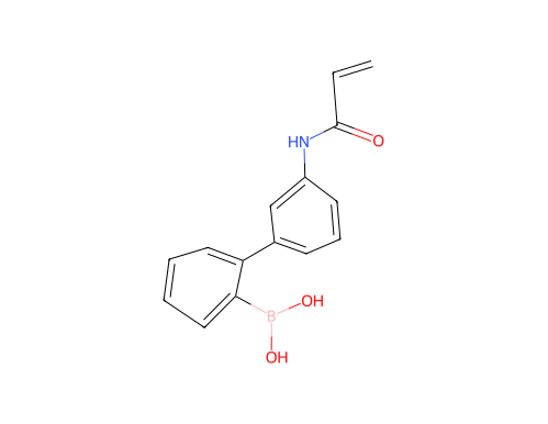 C=CC(=O)Nc1cccc(-c2ccccc2B(O)O)c1